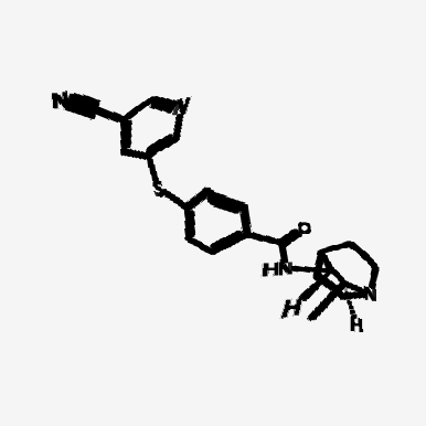 C[C@H]1[C@H](NC(=O)c2ccc(Sc3cncc(C#N)c3)cc2)C2CCN1CC2